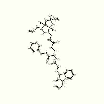 CC1(C)O[C@@H]2[C@H](O1)[C@@H](CNC(=O)CC[C@H](NC(=O)OCC1c3ccccc3-c3ccccc31)C(=O)OCc1ccccc1)O[C@H]2CC(=O)O